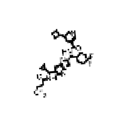 O=C(CCC(F)(F)F)N[C@@H](c1cnn2cc([C@@H](NC(=O)c3cncc(C4CCC4)c3)C3CCC(F)(F)CC3)nc2c1)C1CC1